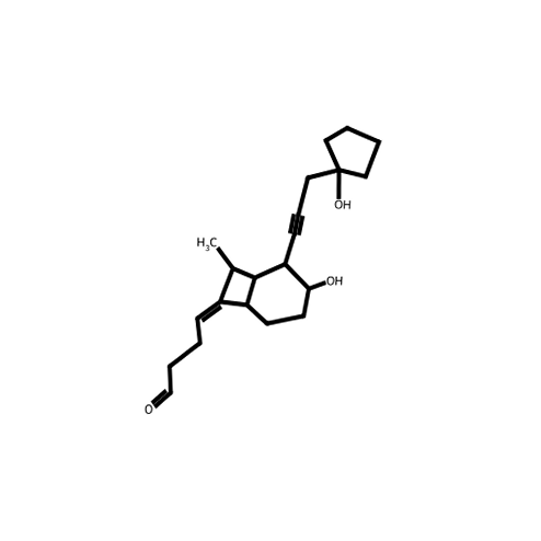 CC1/C(=C/CCC=O)C2CCC(O)C(C#CCC3(O)CCCC3)C12